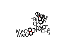 COc1ccc(CN(Cc2ccc(OC)cc2)c2cc(C)c(C(F)(F)F)c(-c3cc4nc(F)nc(N5CC6CCC(C5)N6C(=O)OC(C)(C)C)c4cc3Cl)n2)cc1